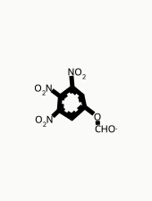 O=[C]Oc1cc([N+](=O)[O-])c([N+](=O)[O-])c([N+](=O)[O-])c1